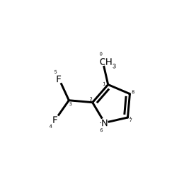 CC1=C(C(F)F)[N][C]=C1